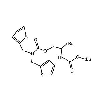 CCCCC(COC(=O)N(Cc1cccs1)Cc1cccs1)NC(=O)OC(C)(C)C